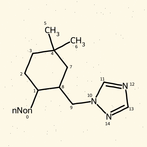 CCCCCCCCCC1CCC(C)(C)CC1Cn1cncn1